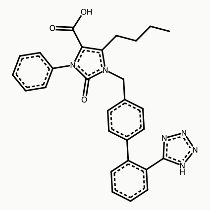 CCCCc1c(C(=O)O)n(-c2ccccc2)c(=O)n1Cc1ccc(-c2ccccc2-c2nnn[nH]2)cc1